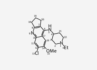 CCN1CCC(Nc2c3c(nc4cc(Cl)c(OC)cc24)CCC3)CC1